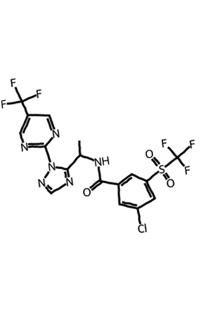 CC(NC(=O)c1cc(Cl)cc(S(=O)(=O)C(F)(F)F)c1)c1ncnn1-c1ncc(C(F)(F)F)cn1